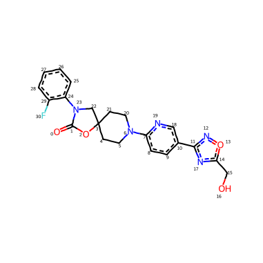 O=C1OC2(CCN(c3ccc(-c4noc(CO)n4)cn3)CC2)CN1c1ccccc1F